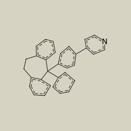 c1ccc(C2(c3ccc(-c4ccncc4)cc3)c3ccccc3CCc3ccccc32)cc1